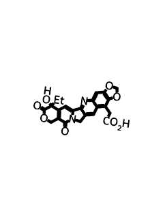 CCC1(O)C(=O)OCc2c1cc1n(c2=O)Cc2cc3c(CC(=O)O)c4c(cc3nc2-1)OCO4